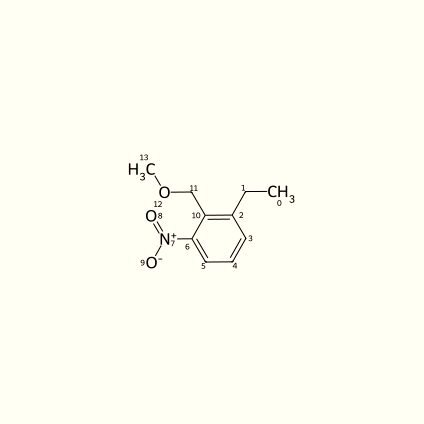 CCc1cccc([N+](=O)[O-])c1COC